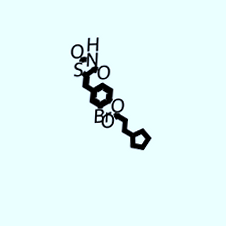 O=C(CCC1CCCC1)Oc1ccc(C=C2SC(=O)NC2=O)cc1Br